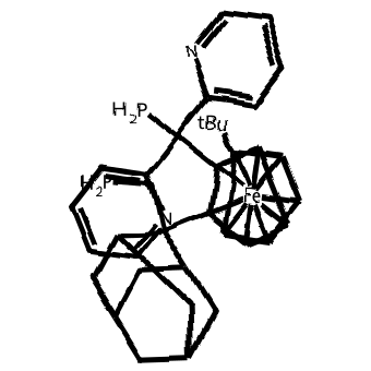 CC(C)(C)[C]12[CH]3[CH]4[CH]5[CH]1[Fe]45321678[CH]2[CH]1[C]6(C(P)(c1ccccn1)c1ccccn1)[C]7(C1(CP)C3CC4CC(C3)CC1C4)[CH]28